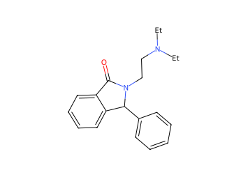 CCN(CC)CCN1C(=O)c2ccccc2C1c1ccccc1